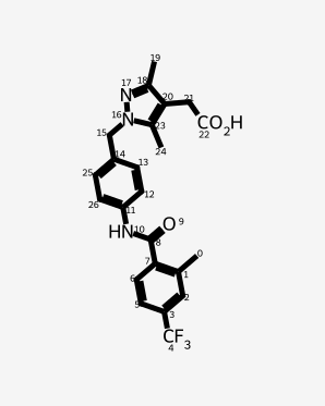 Cc1cc(C(F)(F)F)ccc1C(=O)Nc1ccc(Cn2nc(C)c(CC(=O)O)c2C)cc1